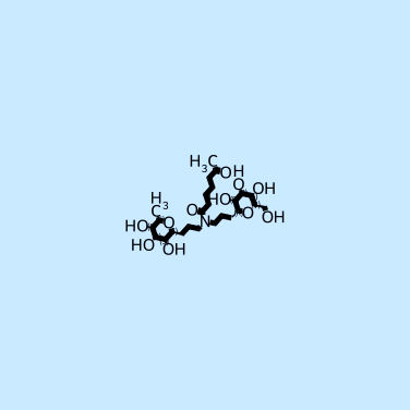 CC(=O)CCCCC(=O)N(CCC[C@@H]1O[C@@H](C)[C@@H](O)[C@@H](O)[C@@H]1O)CCC[C@H]1O[C@H](CO)[C@@H](O)[C@H](O)[C@H]1O